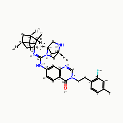 Cc1ccc(CCn2cnc3cc(N/C(=N/[C@H]4C[C@@H]5C[C@H]([C@@H]4C)C5(C)C)N4C[C@@H]5C[C@@H]4CN5)ccc3c2=O)c(F)c1